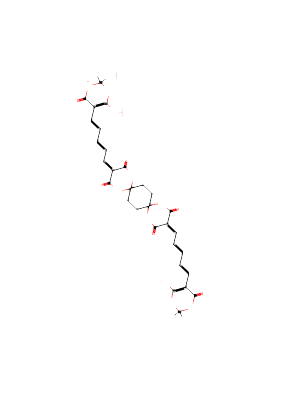 O=C1OC2(CCC3(CC2)OC(=O)C(=C/C=C/C=C/C2=C(O)OC(C(F)(F)F)(C(F)(F)F)OC2=O)C(=O)O3)OC(=O)C1=C/C=C/C=C/C1=C(O)OC(C(F)(F)F)(C(F)(F)F)OC1=O